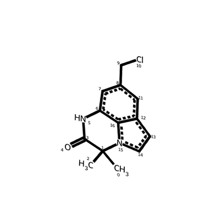 CC1(C)C(=O)Nc2cc(CCl)cc3ccn1c23